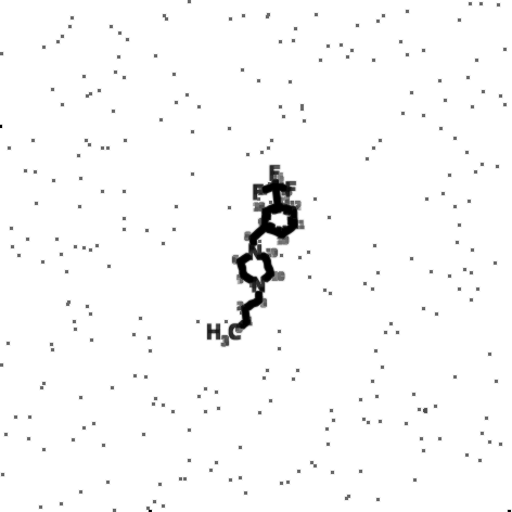 CCCCN1CCN(Cc2cccc(C(F)(F)F)c2)CC1